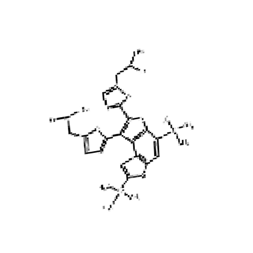 CCCCC(CC)Cc1ccc(-c2sc3[c]([Sn]([CH3])([CH3])[CH3])cc4s[c]([Sn]([CH3])([CH3])[CH3])cc4c3c2-c2ccc(CC(CC)CCCC)o2)o1